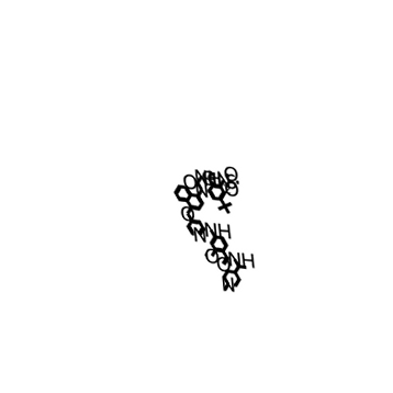 COc1cc(Nc2cc(Oc3ccc(N(C(N)=O)c4cc(C(C)(C)C)cc(NS(C)(=O)=O)c4OC)c4ccccc34)ccn2)ccc1C(=O)NC(C)C1CCN(C)CC1